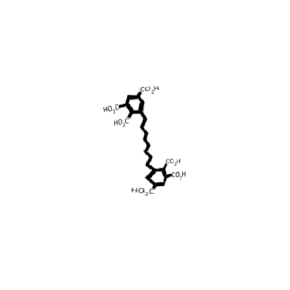 O=C(O)c1cc(CCCCCCCCc2cc(C(=O)O)cc(C(=O)O)c2C(=O)O)c(C(=O)O)c(C(=O)O)c1